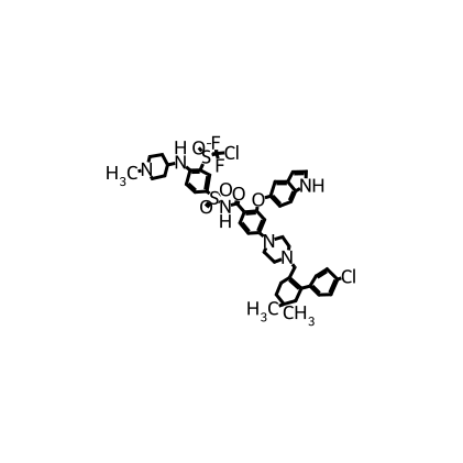 CN1CCC(Nc2ccc(S(=O)(=O)NC(=O)c3ccc(N4CCN(CC5=C(c6ccc(Cl)cc6)CC(C)(C)CC5)CC4)cc3Oc3ccc4[nH]ccc4c3)cc2[S+]([O-])C(F)(F)Cl)CC1